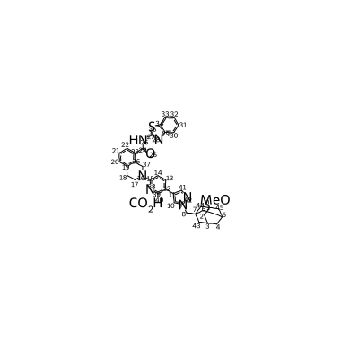 COC12CC3CC(CC(Cn4cc(-c5ccc(N6CCc7cccc(C(=O)Nc8nc9ccccc9s8)c7C6)nc5C(=O)O)cn4)(C3)C1)C2